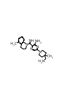 Cc1cccc2c1CCCN2C(=N)c1ncc(N2CCC(C)(CN)CC2)nc1N